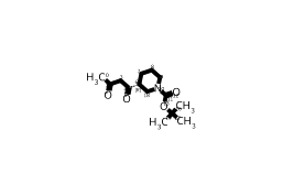 CC(=O)CC(=O)[C@@H]1CCCN(C(=O)OC(C)(C)C)C1